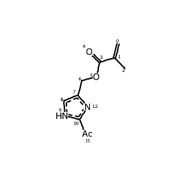 C=C(C)C(=O)OCc1c[nH]c(C(C)=O)n1